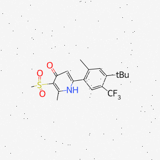 Cc1cc(C(C)(C)C)c(C(F)(F)F)cc1-c1cc(=O)c(S(C)(=O)=O)c(C)[nH]1